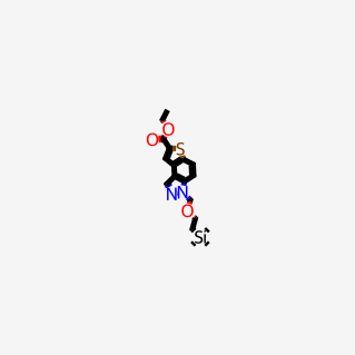 CCOC(=O)c1cc2c(ccc3c2cnn3COCC[Si](C)(C)C)s1